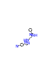 N#Cc1ccc(-c2ccnc(NCCCc3nc(-c4ccccc4)c[nH]3)n2)cc1